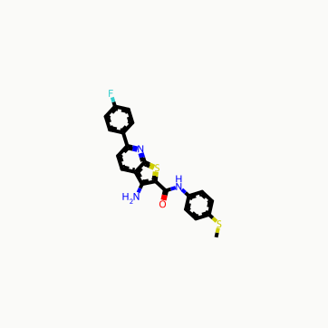 CSc1ccc(NC(=O)c2sc3nc(-c4ccc(F)cc4)ccc3c2N)cc1